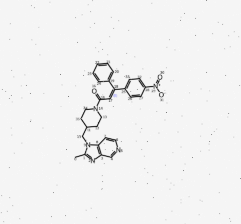 Cc1nc2cnccc2n1CC1CCN(C(=O)/C=C(\c2ccccc2)c2ccc([N+](=O)[O-])cc2)CC1